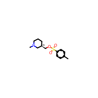 Cc1ccc(S(=O)(=O)OC[C@@H]2CCCN(C)C2)cc1